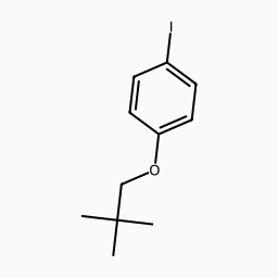 CC(C)(C)COc1ccc(I)cc1